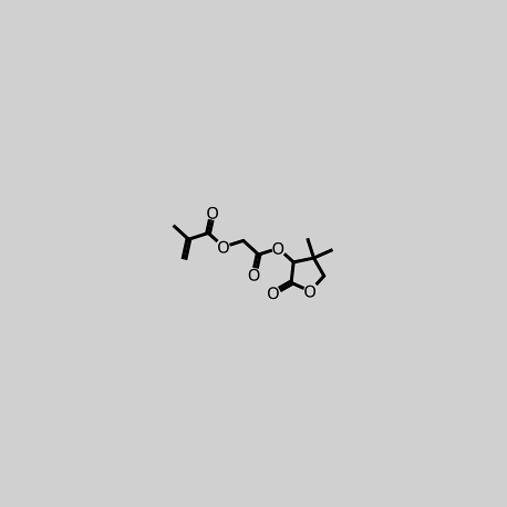 C=C(C)C(=O)OCC(=O)OC1C(=O)OCC1(C)C